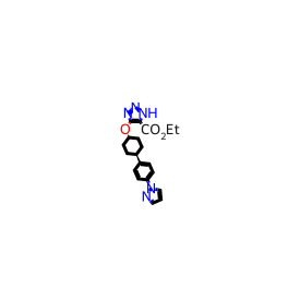 CCOC(=O)c1[nH]nnc1O[C@H]1CC[C@H](c2ccc(-n3cccn3)cc2)CC1